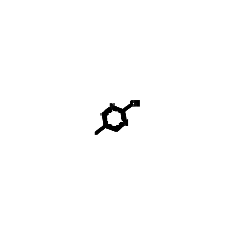 Cc1[c]nc(C#N)nc1